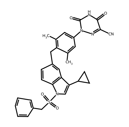 Cc1cc(-n2nc(C#N)c(=O)[nH]c2=O)cc(C)c1Cc1ccc2c(c1)c(C1CC1)cn2S(=O)(=O)Cc1ccccc1